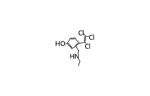 CCNCc1cc(O)ccc1C(Cl)=C(Cl)Cl